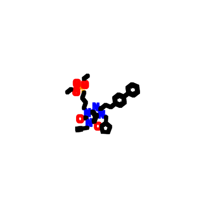 C#CCn1c(=O)c2c(nc(CCc3ccc(-c4ccccc4)cc3)n2CC2CCCC2)n(CCCCP(=O)(OCC)OCC)c1=O